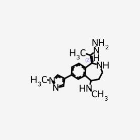 CNC1CCN/C(=C(/C)NN)c2ccc(-c3cnn(C)c3)cc21